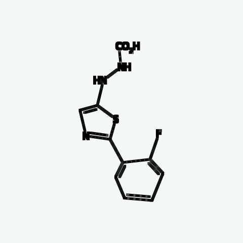 O=C(O)NNc1cnc(-c2ccccc2F)s1